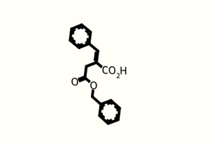 O=C(CC(=Cc1ccccc1)C(=O)O)OCc1ccccc1